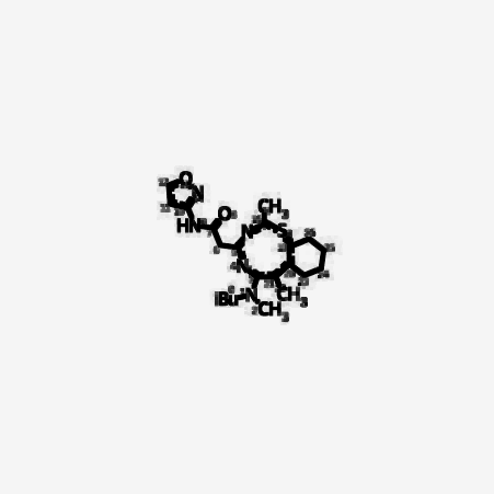 CCC(C)N(C)c1nc(CC(=O)Nc2ccon2)nc(C)sc2c(c1C)CCCC2